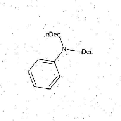 CCCCCCCCCCN(CCCCCCCCCC)c1[c]cccc1